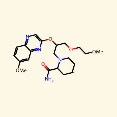 COCCOCC(CN1CC[CH]CC1C(N)=O)Oc1cnc2ccc(OC)cc2n1